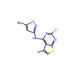 Cc1csc2nc(Cl)nc(Nc3cc(C(C)(C)C)on3)c12